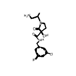 CC(CN)N1CCC(O)(C(=O)NCc2cc(F)cc(Cl)c2)C1=O